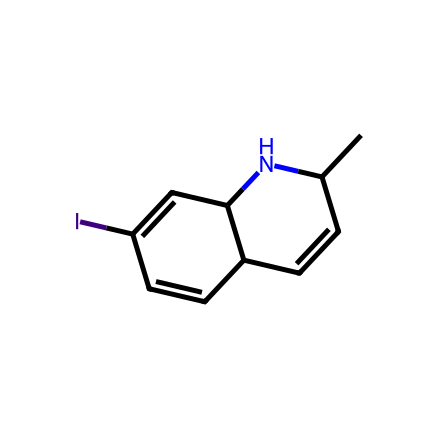 CC1C=CC2C=CC(I)=CC2N1